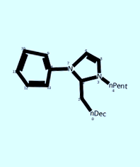 CCCCCCCCCCCC1N(CCCCC)C=CN1c1ccccc1